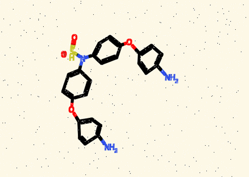 Nc1ccc(Oc2ccc(N(c3ccc(Oc4ccc(N)cc4)cc3)[SH](=O)=O)cc2)cc1